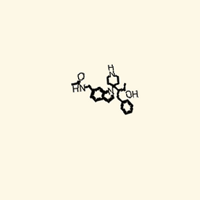 CC(=O)NCc1ccc2ccn(C3(C(Cc4ccccc4)C(C)O)CCNCC3)c2c1